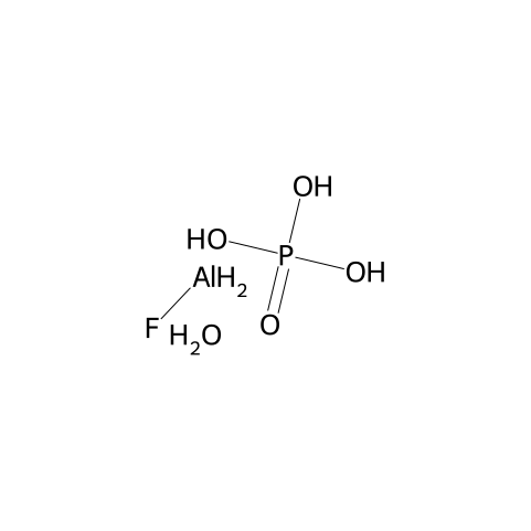 O.O=P(O)(O)O.[F][AlH2]